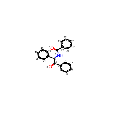 O=C(NC(C(=O)c1ccccc1)c1ccccc1)c1ccccc1